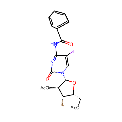 CC(=O)OC[C@H]1O[C@@H](n2cc(I)c(NC(=O)c3ccccc3)nc2=O)[C@H](OC(C)=O)[C@H]1Br